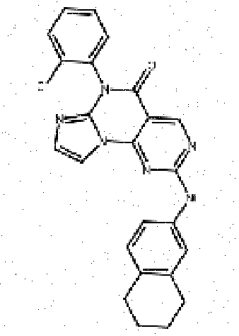 O=c1c2cnc(Nc3ccc4c(c3)CCCC4)nc2n2ccnc2n1-c1ccccc1Cl